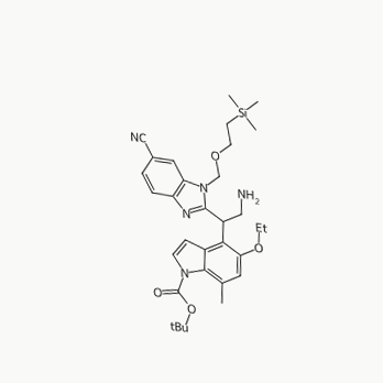 CCOc1cc(C)c2c(ccn2C(=O)OC(C)(C)C)c1C(CN)c1nc2ccc(C#N)cc2n1COCC[Si](C)(C)C